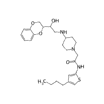 CCCCc1csc(NC(=O)CN2CCC(NCC(O)C3COc4ccccc4O3)CC2)c1